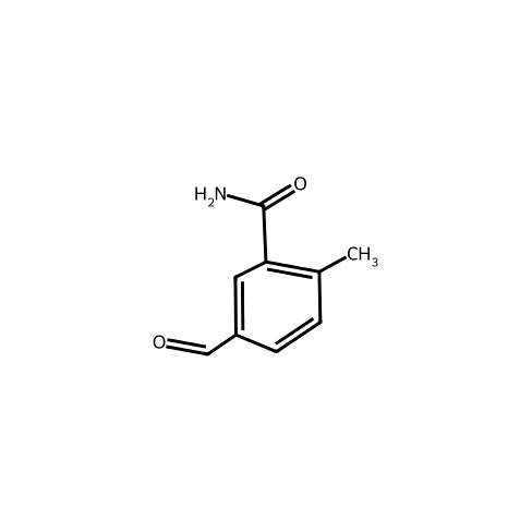 Cc1ccc(C=O)cc1C(N)=O